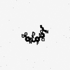 C=C/C=C(/C#N)Oc1ccc(Cl)c(-c2ccc(Cc3nc4ccc(C(=O)OC)cc4n3CCOC)c(F)c2)n1